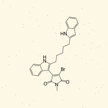 CN1C(=O)C(Br)=C(c2c(CCCCCc3cc4ccccc4[nH]3)[nH]c3ccccc23)C1=O